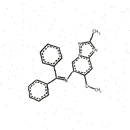 COc1cc2nc(C)nn2cc1N=C(c1ccccc1)c1ccccc1